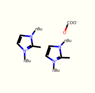 CCCCn1cc[n+](CCCC)c1C.CCCCn1cc[n+](CCCC)c1C.O=C([O-])[O-]